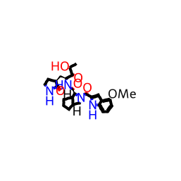 COc1cccc2[nH]c(C(=O)N3C[C@@H]4CCC[C@@H]4[C@H]3C(=O)N[C@@H](C[C@@H]3CCNC3=O)C(=O)C(C)O)cc12